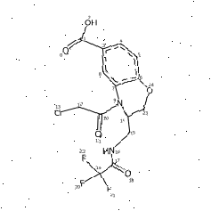 O=C(O)c1ccc2c(c1)N(C(=O)CCl)C(CNC(=O)C(F)(F)F)CO2